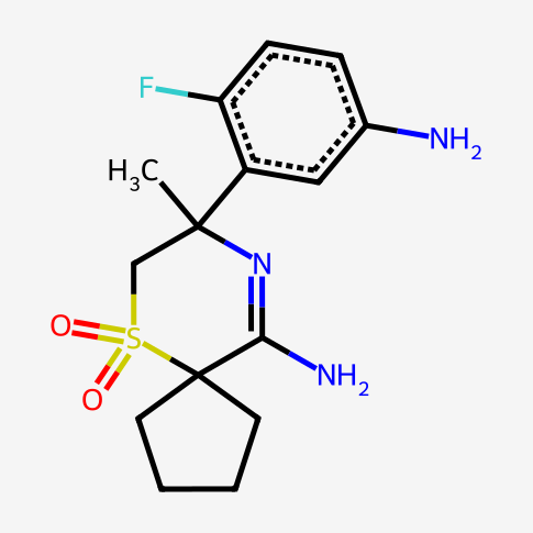 CC1(c2cc(N)ccc2F)CS(=O)(=O)C2(CCCC2)C(N)=N1